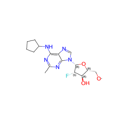 Cc1nc(NC2CCCC2)c2ncn([C@@H]3O[C@H](C[O])[C@@H](O)[C@@H]3F)c2n1